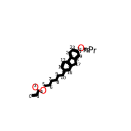 C=CC(=O)OCCCCCCc1ccc2c(c1)Cc1cc(OCCC)ccc1-2